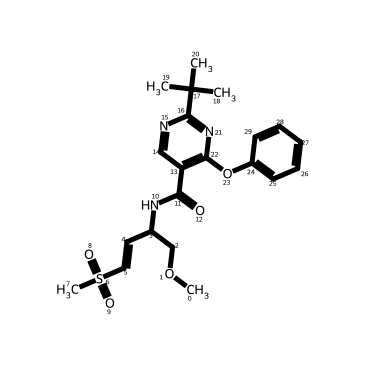 COCC(/C=C/S(C)(=O)=O)NC(=O)c1cnc(C(C)(C)C)nc1Oc1ccccc1